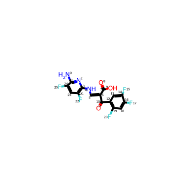 Nc1nc(NC=C(C(=O)O)C(=O)c2cc(F)c(F)cc2F)c(F)cc1F